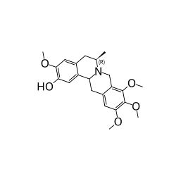 COc1cc2c(cc1O)C1Cc3cc(OC)c(OC)c(OC)c3CN1[C@H](C)C2